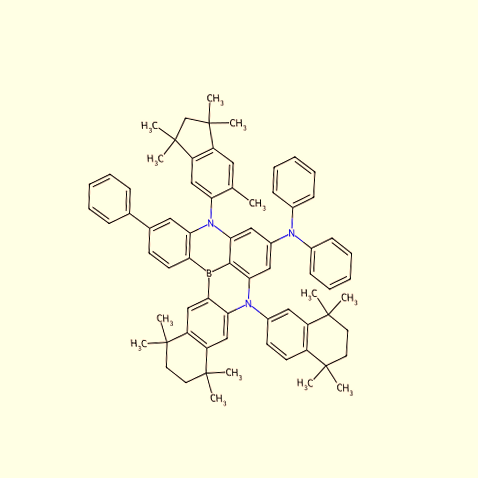 Cc1cc2c(cc1N1c3cc(-c4ccccc4)ccc3B3c4cc5c(cc4N(c4ccc6c(c4)C(C)(C)CCC6(C)C)c4cc(N(c6ccccc6)c6ccccc6)cc1c43)C(C)(C)CCC5(C)C)C(C)(C)CC2(C)C